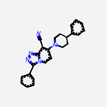 N#Cc1c(N2CCC(c3ccccc3)CC2)ccn2c(-c3ccccc3)nnc12